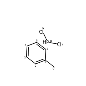 Cc1ccccc1.ClPCl